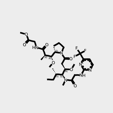 CC[C@H](C)[C@@H]([C@@H](CC(=O)N1CCC[C@H]1[C@H](OC)[C@@H](C)C(=O)NCC(=O)OC)OC)N(C)C(=O)CNc1nccc(C(F)(F)F)n1